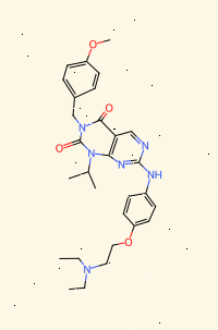 CCN(CC)CCOc1ccc(Nc2ncc3c(=O)n(Cc4ccc(OC)cc4)c(=O)n(C(C)C)c3n2)cc1